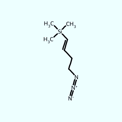 C[Si](C)(C)C=CCCN=[N+]=[N-]